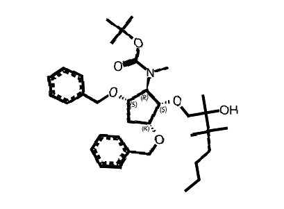 CCCCC(C)(C)C(C)(O)CO[C@H]1[C@H](N(C)C(=O)OC(C)(C)C)[C@@H](OCc2ccccc2)C[C@H]1OCc1ccccc1